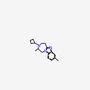 Cc1ccc2c(c1)nc1n2CC(C)N(C2CCC2)CC1